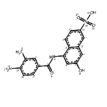 Cc1cc(C(=O)Nc2cc(O)cc3cc(S(=O)(=O)O)ccc23)ccc1N